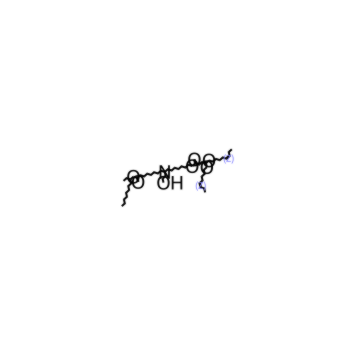 CC/C=C\CCCCOC(CCC(=O)OCCCCCCCN(CCO)CCCCCCCC(=O)OC(CC)CCCCCCCC)OCCCC/C=C\CC